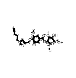 C#CCCCn1cnc(COc2c(Cl)cc(C(=O)O[C@H]3[C@@H](OC)O[C@H](CO)[C@@H](O)[C@@H]3O)cc2OC)c1